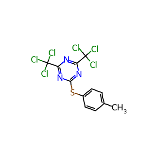 Cc1ccc(Sc2nc(C(Cl)(Cl)Cl)nc(C(Cl)(Cl)Cl)n2)cc1